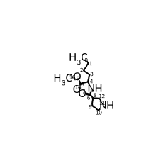 CCCCC(NC(=O)C1CCNC1)C(=O)OC